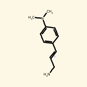 CN(C)c1ccc(/C=C/CN)cc1